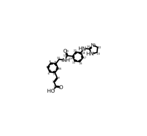 O=C(O)C=Cc1cccc(CNC(=O)c2cccc(NC3=NCCN3)c2)c1